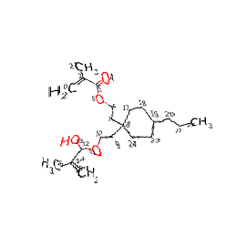 C=C(C)C(=O)OCCC1(CCOC(O)C(=C)C)CCC(CCC)CC1